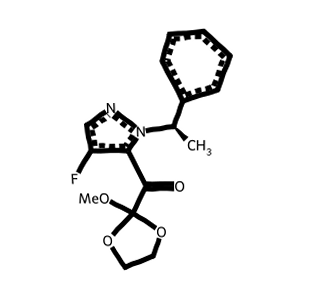 COC1(C(=O)c2c(F)cnn2[C@H](C)c2ccccc2)OCCO1